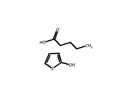 CCCCC(=O)O.Oc1cccs1